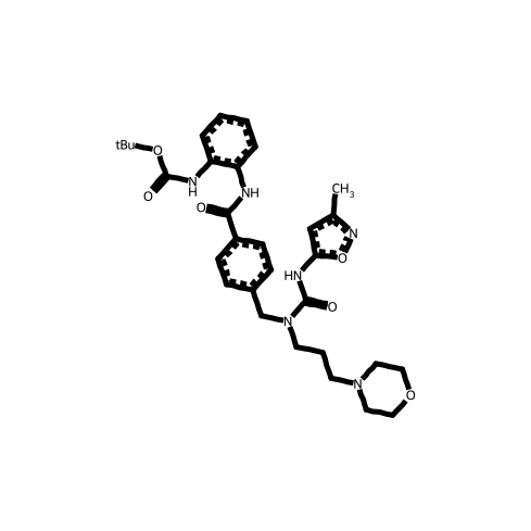 Cc1cc(NC(=O)N(CCCN2CCOCC2)Cc2ccc(C(=O)Nc3ccccc3NC(=O)OC(C)(C)C)cc2)on1